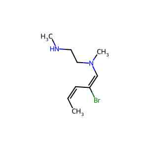 C/C=C\C(Br)=C/N(C)CCNC